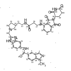 Cn1ncc2cc(C(=O)Nc3ccc4[nH]c(CN5CCC(CCNC(=O)CCNc6cccc7c6C(=O)N(C6CCC(=O)NC6=O)C7=O)C5)nc4c3)ccc21